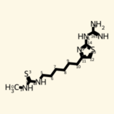 CNC(=S)NCCCCCCc1csc(NC(=N)N)n1